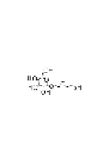 OCC1O[C@@H](OCCOCCS)[C@@H](O)C(O)[C@H]1O